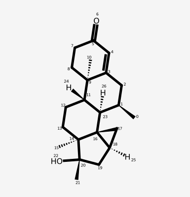 C[C@@H]1CC2=CC(=O)CC[C@]2(C)[C@H]2CC[C@@]3(C)[C@]4(C[C@H]4C[C@]3(C)O)[C@H]12